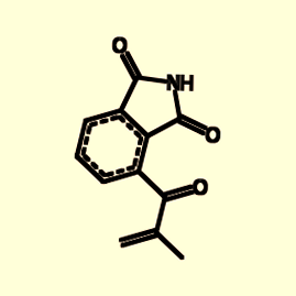 C=C(C)C(=O)c1cccc2c1C(=O)NC2=O